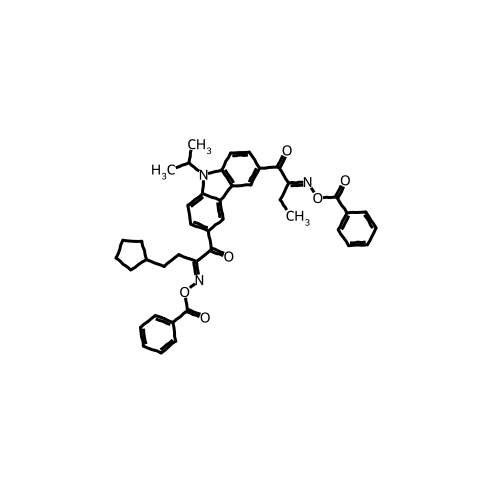 CC/C(=N\OC(=O)c1ccccc1)C(=O)c1ccc2c(c1)c1cc(C(=O)/C(CCC3CCCC3)=N/OC(=O)c3ccccc3)ccc1n2C(C)C